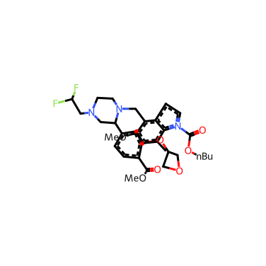 CCCCOC(=O)n1ccc2c(CN3CCN(CC(F)F)CC3c3ccc(C(=O)OC)c(OC4COC4)c3)c(OC)cc(C)c21